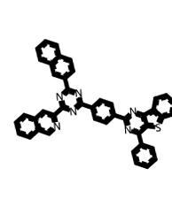 c1ccc(-c2nc(-c3ccc(-c4nc(-c5ccc6ccccc6c5)nc(-c5cc6ccccc6cn5)n4)cc3)nc3c2sc2ccccc23)cc1